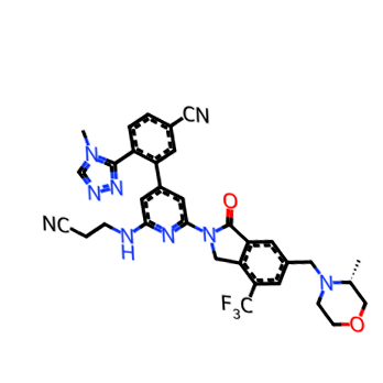 C[C@@H]1COCCN1Cc1cc2c(c(C(F)(F)F)c1)CN(c1cc(-c3cc(C#N)ccc3-c3nncn3C)cc(NCCC#N)n1)C2=O